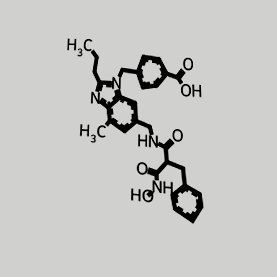 CCCc1nc2c(C)cc(CNC(=O)C(Cc3ccccc3)C(=O)NO)cc2n1Cc1ccc(C(=O)O)cc1